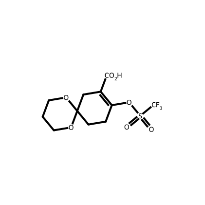 O=C(O)C1=C(OS(=O)(=O)C(F)(F)F)CCC2(C1)OCCCO2